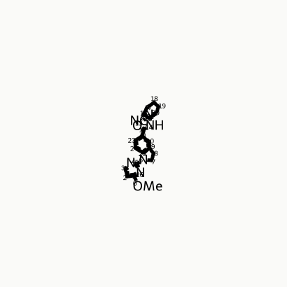 COc1ccnc(N2CCc3cc(C(=O)NC4CC5CCC4N5C#N)ccc32)n1